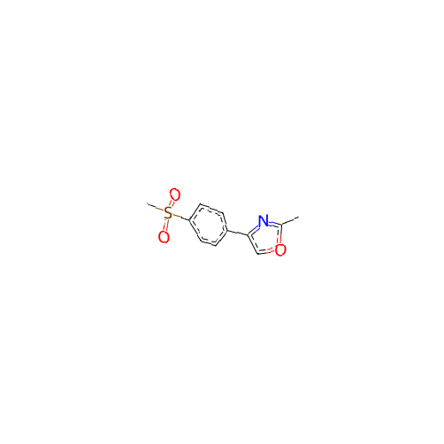 Cc1nc(-c2ccc(S(C)(=O)=O)cc2)co1